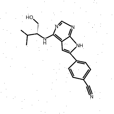 CC(C)[C@H](CO)Nc1ncnc2[nH]c(-c3ccc(C#N)cc3)cc12